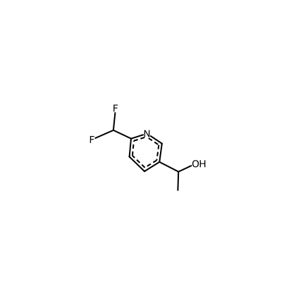 CC(O)c1ccc(C(F)F)nc1